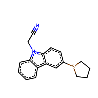 N#CCn1c2ccccc2c2cc([S+]3CCCC3)ccc21